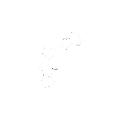 Cc1ccc2cc(-c3cncc(N4C(=O)c5ccccc5C4=O)c3)n(C)c2c1